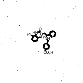 CC(C)c1cccc(C(C)C)c1NC(=O)OCC(NCc1ccc(C(=O)O)cc1)c1ccccc1